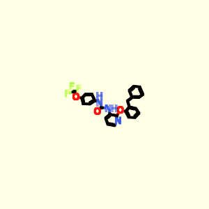 O=C(Nc1ccc(OC(F)(F)F)cc1)Nc1cccnc1Oc1ccccc1Cc1ccccc1